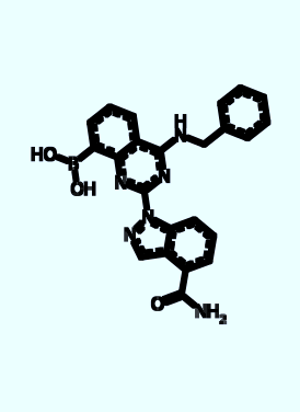 NC(=O)c1cccc2c1cnn2-c1nc(NCc2ccccc2)c2cccc(B(O)O)c2n1